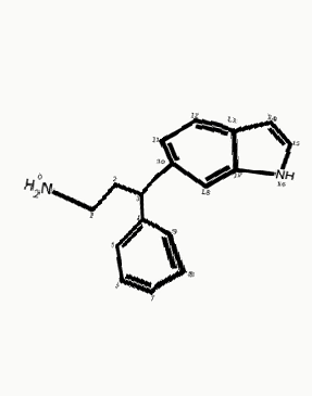 NCCC(c1ccccc1)c1ccc2cc[nH]c2c1